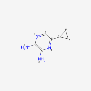 Nc1ncc(C2CC2)nc1N